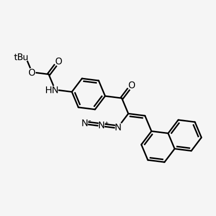 CC(C)(C)OC(=O)Nc1ccc(C(=O)/C(=C/c2cccc3ccccc23)N=[N+]=[N-])cc1